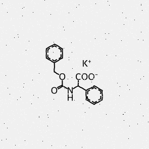 O=C(NC(C(=O)[O-])c1ccccc1)OCc1ccccc1.[K+]